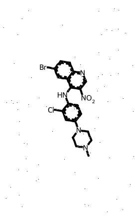 CN1CCN(c2ccc(Nc3c([N+](=O)[O-])cnc4ccc(Br)cc34)c(Cl)c2)CC1